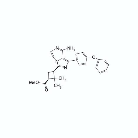 COC(=O)[C@H]1C[C@@H](c2nc(-c3ccc(Oc4ccccc4)cc3)c3c(N)nccn23)C1(C)C